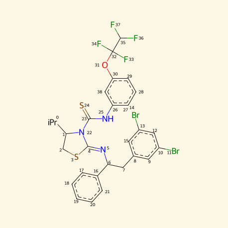 CC(C)C1CSC(=NC(Cc2cc(Br)cc(Br)c2)c2ccccc2)N1C(=S)Nc1cccc(OC(F)(F)C(F)F)c1